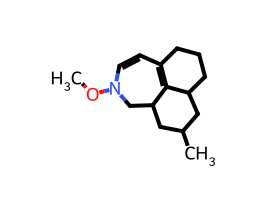 CON1C=CC2=C3C(CCC2)CC(C)CC3C1